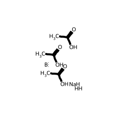 CC(=O)O.CC(=O)O.CC(=O)O.[B].[HH].[NaH]